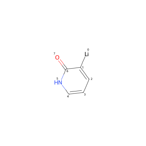 [Li][c]1ccc[nH]c1=O